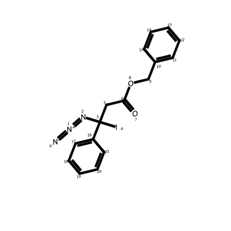 [N-]=[N+]=NC(I)(CC(=O)OCc1ccccc1)c1ccccc1